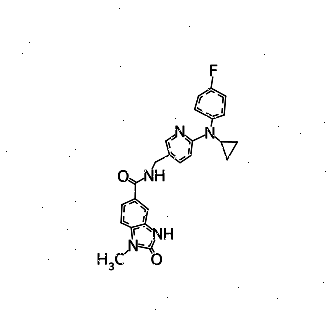 Cn1c(=O)[nH]c2cc(C(=O)NCc3ccc(N(c4ccc(F)cc4)C4CC4)nc3)ccc21